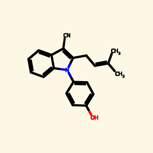 CC(C)=CCc1c(C#N)c2ccccc2n1-c1ccc(O)cc1